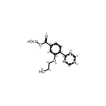 CCCCCCCCOC(=O)c1ccc(-c2ncncn2)c(OCCO)c1